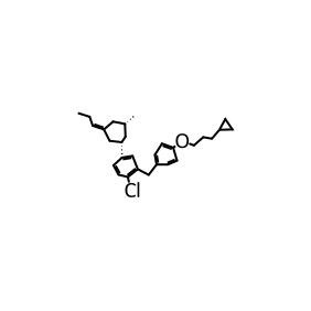 CC/C=C1\C[C@H](C)C[C@H](c2ccc(Cl)c(Cc3ccc(OCCCC4CC4)cc3)c2)C1